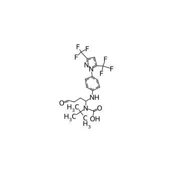 CC(C)(C)N(C(=O)O)C(CCC=O)Nc1ccc(-n2nc(C(F)(F)F)cc2C(F)(F)F)cc1